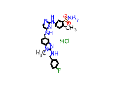 Cc1ccc(Nc2nccc(NCc3ccc4c(c3)nc(NCc3ccc(F)cc3)n4C)n2)cc1S(N)(=O)=O.Cl